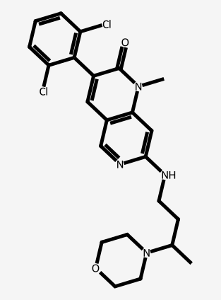 CC(CCNc1cc2c(cn1)cc(-c1c(Cl)cccc1Cl)c(=O)n2C)N1CCOCC1